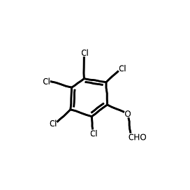 O=COc1c(Cl)c(Cl)c(Cl)c(Cl)c1Cl